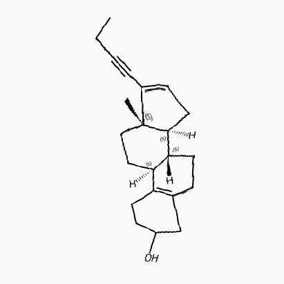 CCC#CC1=CC[C@H]2[C@@H]3CCC4=C(CCC(O)C4)[C@H]3CC[C@]12C